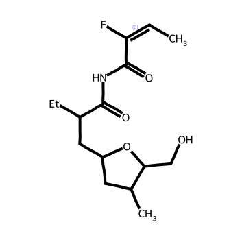 C/C=C(/F)C(=O)NC(=O)C(CC)CC1CC(C)C(CO)O1